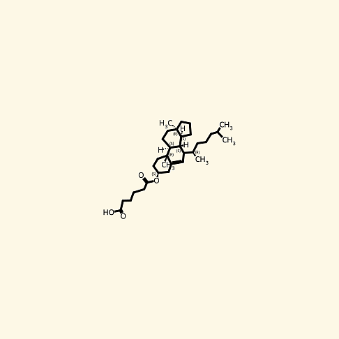 CC(C)CCC[C@@H](C)C1C=C2C[C@@H](OC(=O)CCCCC(=O)O)CC[C@]2(C)[C@H]2CC[C@@]3(C)CCC[C@H]3[C@H]12